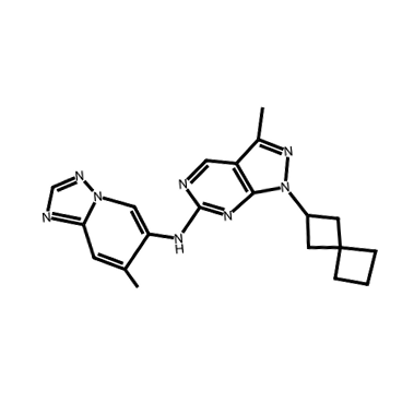 Cc1cc2ncnn2cc1Nc1ncc2c(C)nn(C3CC4(CCC4)C3)c2n1